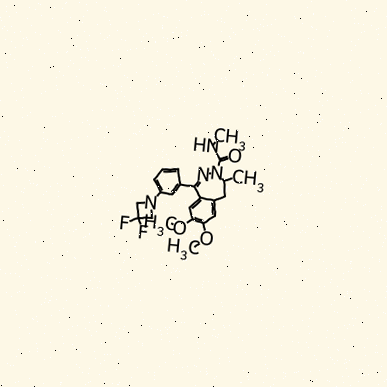 CNC(=O)N1N=C(c2cccc(N3CC(F)(F)C3)c2)c2cc(OC)c(OC)cc2CC1C